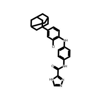 O=C(Nc1ccc(Nc2ccc(C34CC5CC(CC(C5)C3)C4)cc2Cl)cc1)c1nnc[nH]1